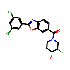 O=C(c1ccc2nc(-c3cc(Cl)cc(Cl)c3)oc2c1)N1CC[C@@H](O)[C@@H](F)C1